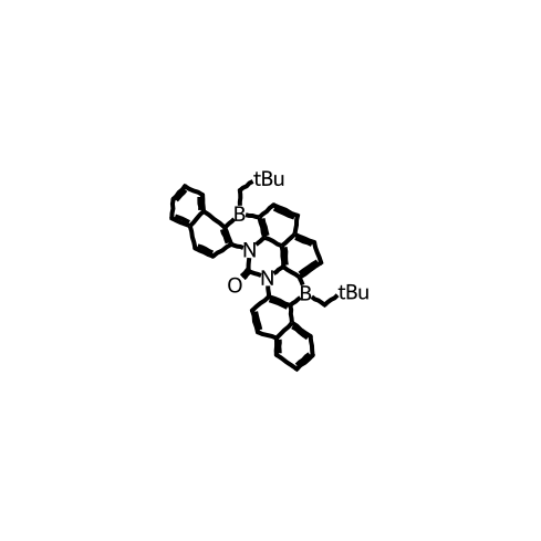 CC(C)(C)CB1c2ccc3ccc4c5c3c2N(C(=O)N5c2ccc3ccccc3c2B4CC(C)(C)C)c2ccc3ccccc3c21